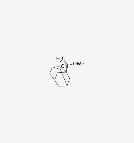 C=C(OC)C12CC3CC(C1)C(O)C(C3)C2